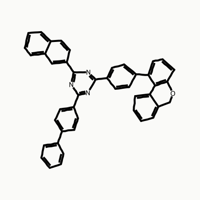 c1ccc(-c2ccc(-c3nc(-c4ccc(-c5cccc6c5-c5ccccc5CO6)cc4)nc(-c4ccc5ccccc5c4)n3)cc2)cc1